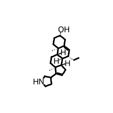 CC[C@H]1C=C2C[C@@H](O)CC[C@]2(C)[C@H]2CC[C@]3(C)C(C4CCNC4)=CC[C@H]3[C@H]12